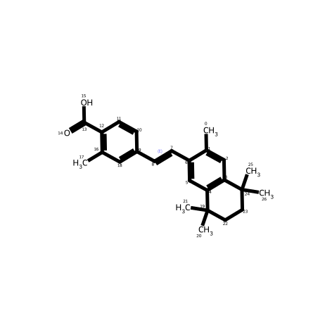 Cc1cc2c(cc1/C=C/c1ccc(C(=O)O)c(C)c1)C(C)(C)CCC2(C)C